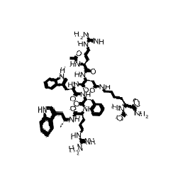 CC(=O)N[C@@H](CCCNC(=N)N)C(=O)N[C@@H](CC(=O)NCCCC[C@H](NC=O)C(N)=O)C(=O)N[C@H](Cc1c[nH]c2ccccc12)C(=O)N[C@H](Cc1ccccc1)C(=O)N[C@@H](CCCNC(=N)N)C(=O)N[C@H](C)Cc1c[nH]c2ccccc12